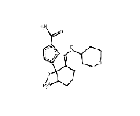 COC1(c2ccc(C(N)=O)s2)/C(=C/NC2CCOCC2)CCCC1C